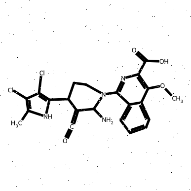 COc1c(C(=O)O)nc(N2CCC(c3[nH]c(C)c(Cl)c3Cl)C(=C=O)C2N)c2ccccc12